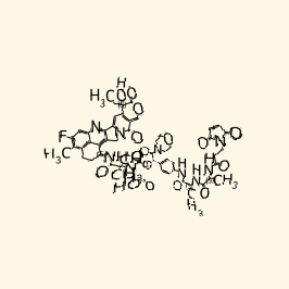 CC[C@@]1(O)C(=O)OCc2c1cc1n(c2=O)Cc2c-1nc1cc(F)c(C)c3c1c2[C@@H](NC(=O)C(C)(C)NC(=O)OC(C(=O)N1CCOCC1)c1ccc(NC(=O)[C@H](C)NC(=O)[C@H](C)NC(=O)CCN2C(=O)C=CC2=O)cc1)CC3.O=CO